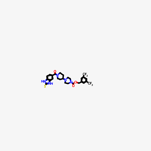 O=C(OCc1cc(C(F)(F)F)cc(C(F)(F)F)c1)N1CCN(C2CCN(C(=O)c3ccc4[nH]c(=S)[nH]c4c3)CC2)CC1